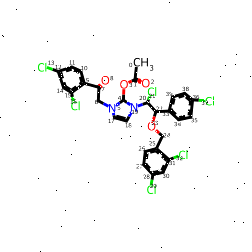 CC(=O)OC1N(CC(=O)c2ccc(Cl)cc2Cl)C=CN1C(Cl)C(OCc1ccc(Cl)cc1Cl)c1ccc(Cl)cc1